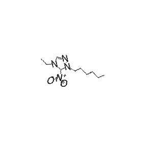 CCCCCCN1N=CN(CC)C1[N+](=O)[O-]